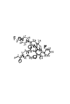 C=CC(=O)N1CCN2C(=O)c3c(N4CC(N5CCN(C(F)(F)F)CC5)CC4(C)C)nc(-c4ccccc4F)c(Cl)c3OCC2C1